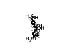 CCc1ccc(NC(=O)[C@@](C)(O)CS(=O)(=O)c2ccc(C(=O)NC)cc2)nc1C(F)(F)F